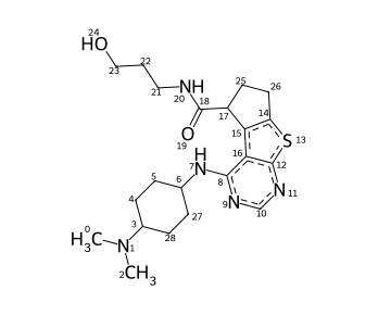 CN(C)C1CCC(Nc2ncnc3sc4c(c23)C(C(=O)NCCCO)CC4)CC1